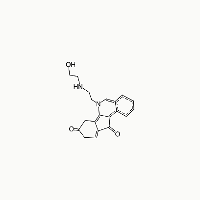 O=C1CC=C2C(=O)C3=c4ccccc4=CN(CCNCCO)C3=C2C1